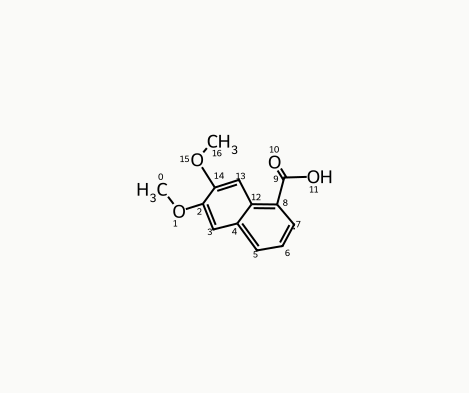 COc1cc2cc[c]c(C(=O)O)c2cc1OC